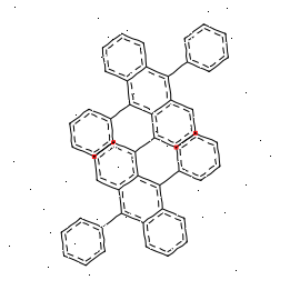 c1ccc(-c2c3ccccc3c(-c3ccccc3)c3c(-c4cccc5c(-c6ccccc6)c6ccccc6c(-c6ccccc6)c45)cccc23)cc1